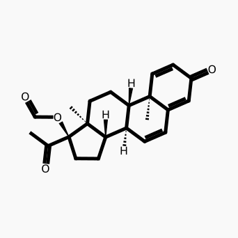 CC(=O)[C@@]1(OC=O)CC[C@H]2[C@@H]3C=CC4=CC(=O)C=C[C@]4(C)[C@H]3CC[C@@]21C